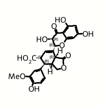 COc1cc([C@@H]2[C@H]3COC(=O)[C@H]3C([C@H]3Oc4cc(O)cc(O)c4C(=O)[C@@H]3O)=C[C@H]2C(=O)O)ccc1O